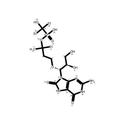 CCC(C)(CCO[C@H]([C@H](O)CO)n1c(=O)[nH]c2c(=O)[nH]c(N)nc21)OP(=O)(O)C(O)(CC)CC